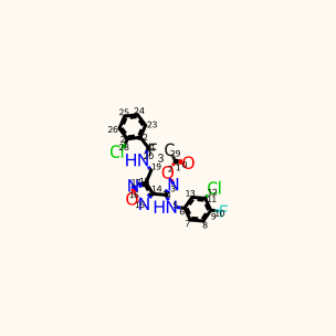 O=C(ON=C(Nc1ccc(F)c(Cl)c1)c1nonc1CNCc1ccccc1Cl)C(F)(F)F